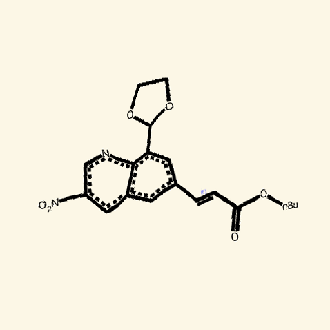 CCCCOC(=O)/C=C/c1cc(C2OCCO2)c2ncc([N+](=O)[O-])cc2c1